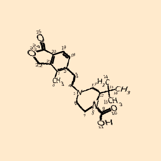 Cc1c(CCN2CCN(C(=O)O)C(C(C)(C)C)C2)ccc2c1COC2=O